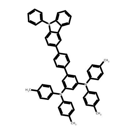 Cc1ccc(N(c2ccc(C)cc2)c2cc(-c3ccc(-c4ccc5c(c4)c4ccccc4n5-c4ccccc4)cc3)cc(N(c3ccc(C)cc3)c3ccc(C)cc3)c2)cc1